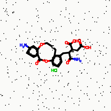 Cl.NC(=O)C(Cc1cccc2c1CCCOc1cc(N)ccc1C(=O)O2)[C@H](CC(=O)O)C(=O)O